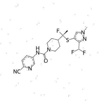 Cn1cc(S[C@@](C)(F)C2CCN(C(=O)Nc3ccc(C#N)nc3)CC2)c(C(F)F)n1